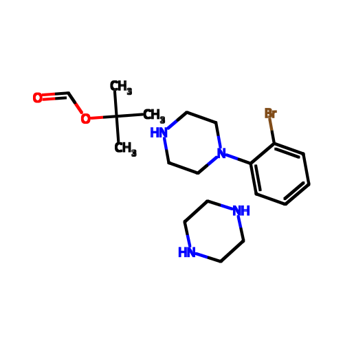 Brc1ccccc1N1CCNCC1.C1CNCCN1.CC(C)(C)OC=O